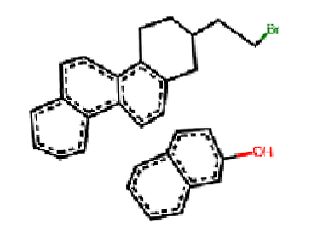 BrCCC1CCc2c(ccc3c2ccc2ccccc23)C1.Oc1ccc2ccccc2c1